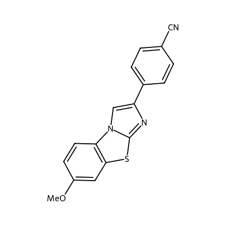 COc1ccc2c(c1)sc1nc(-c3ccc(C#N)cc3)cn12